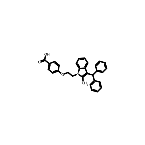 Cc1c(C(c2ccccc2)c2ccccc2)c2ccccc2n1CCOc1ccc(C(=O)O)cc1